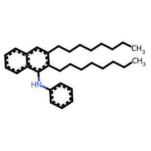 CCCCCCCCc1cc2ccccc2c(Nc2ccccc2)c1CCCCCCCC